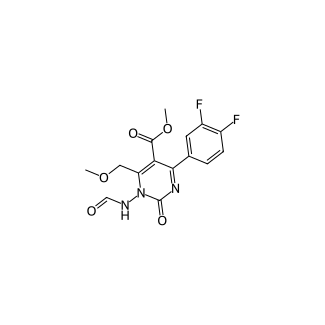 COCc1c(C(=O)OC)c(-c2ccc(F)c(F)c2)nc(=O)n1NC=O